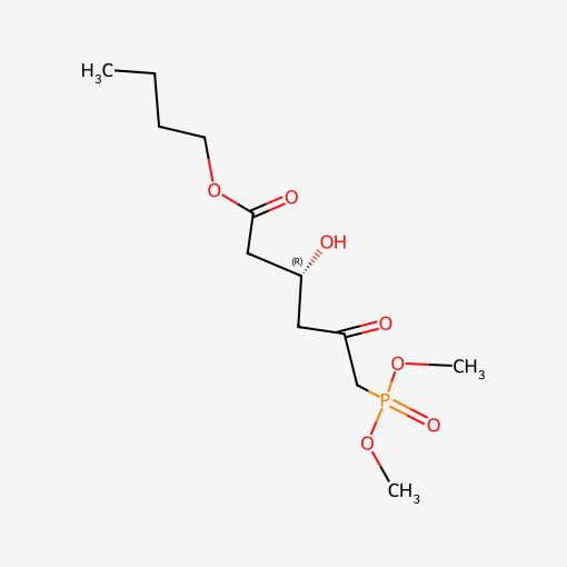 CCCCOC(=O)C[C@H](O)CC(=O)CP(=O)(OC)OC